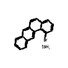 Brc1cccc2ccc3cc4ccccc4cc3c12.[SbH3]